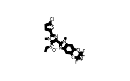 CC[S+]([O-])c1c(-c2nc3cc4c(cc3n2C)OC(F)(F)C(F)(F)O4)nc(-c2ccc(Cl)s2)n1C